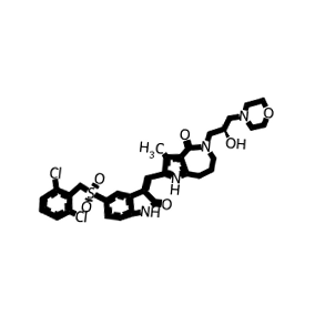 Cc1c(C=C2C(=O)Nc3ccc(S(=O)(=O)Cc4c(Cl)cccc4Cl)cc32)[nH]c2c1C(=O)N(C[C@H](O)CN1CCOCC1)CCC2